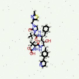 Cc1nc(CN2CCN([C@H](C(=O)N[C@@H](Cc3ccccc3)C[C@H](O)[C@H](Cc3ccc(-c4cccnc4)cc3)NC(=O)[C@@H](NC(=O)O)C(C)(C)C)C(C)(C)C)C2=O)cs1